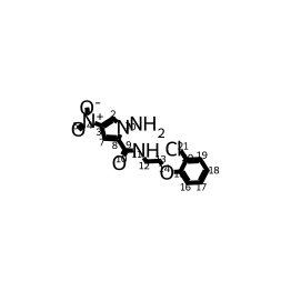 Nn1cc([N+](=O)[O-])cc1C(=O)NCCOc1ccccc1Cl